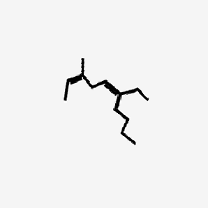 CC=C(C)CC=C(CC)CCCC